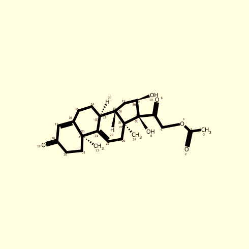 CC(=O)OCC(=O)[C@@]1(O)[C@H](O)C[C@H]2[C@@H]3CCC4=CC(=O)CC[C@]4(C)C3=CC[C@@]21C